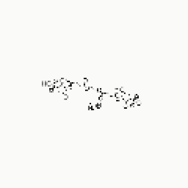 O=C(CCC(=O)ON1C(=O)CC(S(=O)(=O)O)C1=O)OCCOC(=O)CCC(=O)ON1C(=O)CC(S(=O)(=O)O)C1=O.[NaH].[NaH]